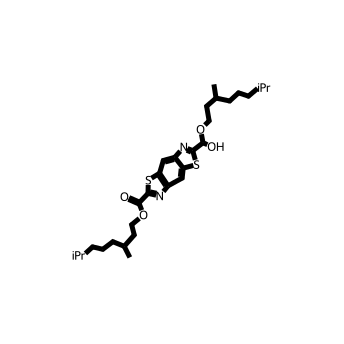 CC(C)CCCC(C)CCOC(=O)c1nc2cc3sc(C(O)OCCC(C)CCCC(C)C)nc3cc2s1